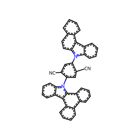 N#Cc1cc(-n2c3ccccc3c3c4ccccc4c4ccccc4c32)c(C#N)cc1-n1c2ccccc2c2c3ccccc3ccc21